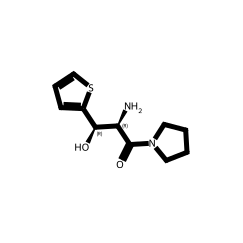 N[C@@H](C(=O)N1CCCC1)[C@@H](O)c1cccs1